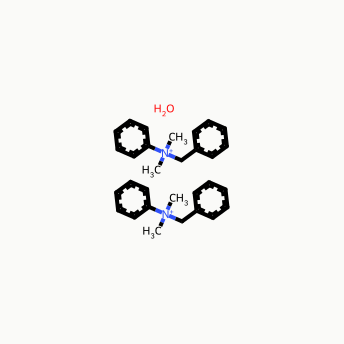 C[N+](C)(Cc1ccccc1)c1ccccc1.C[N+](C)(Cc1ccccc1)c1ccccc1.O